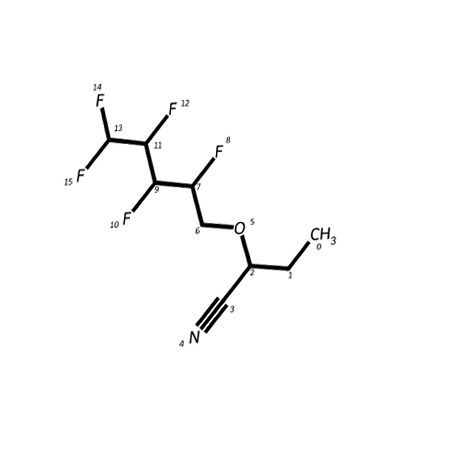 CCC(C#N)OCC(F)C(F)C(F)C(F)F